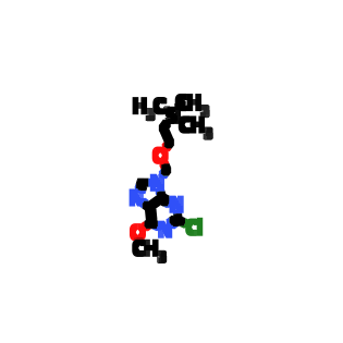 COc1nc(Cl)nc2c1ncn2COCC[Si](C)(C)C